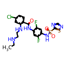 CCNCCNc1cc(Cl)ccc1C(=O)Nc1cc(F)c(NS(=O)(=O)c2ncns2)cc1F